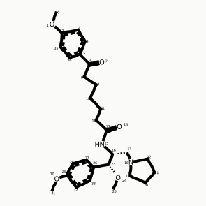 COc1ccc(C(=O)CCCCCC(=O)N[C@H](CN2CCCC2)[C@H](OC)c2ccc(OC)cc2)cc1